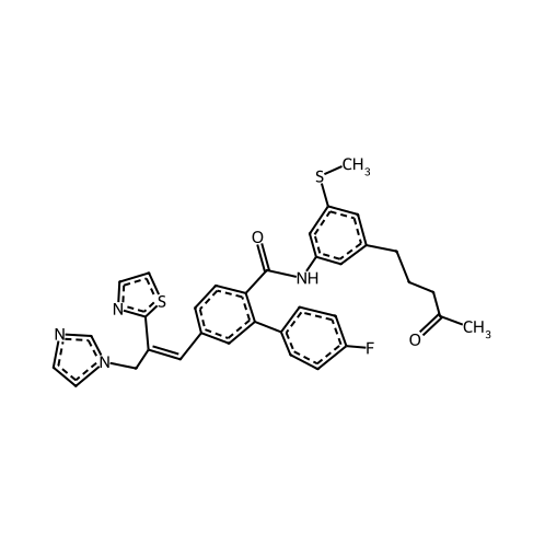 CSc1cc(CCCC(C)=O)cc(NC(=O)c2ccc(C=C(Cn3ccnc3)c3nccs3)cc2-c2ccc(F)cc2)c1